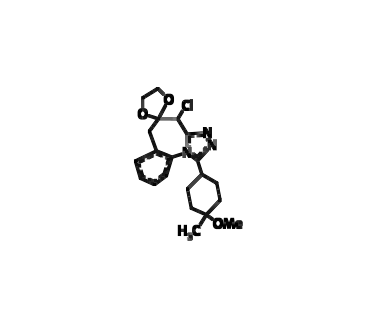 COC1(C)CCC(c2nnc3n2-c2ccccc2CC2(OCCO2)C3Cl)CC1